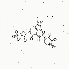 CCN1CCN(C(=O)NC(C(=O)NC2CN(S(=O)(=O)[O-])C2=O)c2cccs2)C(=O)C1=O.[Na+]